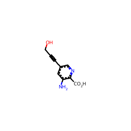 Nc1cc(C#CCO)cnc1C(=O)O